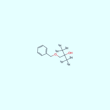 [2H]C([2H])([2H])C(O)(COCc1ccccc1)C([2H])([2H])[2H]